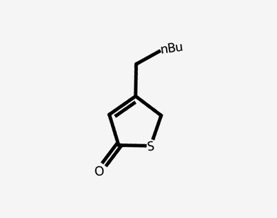 CCCCCC1=CC(=O)SC1